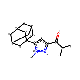 CC(C)C(=O)c1cc(C23CC4CC(CC(C4)C2)C3)n(C)n1